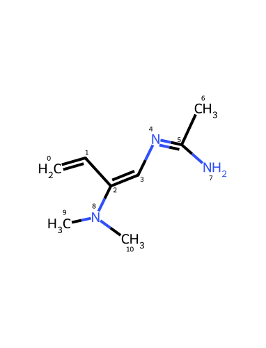 C=C/C(=C\N=C(\C)N)N(C)C